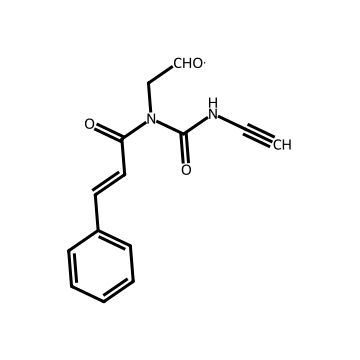 C#CNC(=O)N(C[C]=O)C(=O)C=Cc1ccccc1